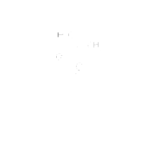 C=C(C)C(=O)OC1CCCC2C3CCCCC3CC12